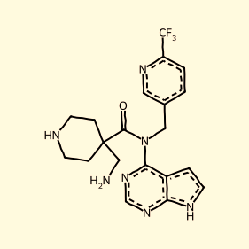 NCC1(C(=O)N(Cc2ccc(C(F)(F)F)nc2)c2ncnc3[nH]ccc23)CCNCC1